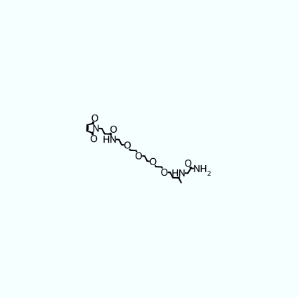 CC(CCOCCOCCOCCOCCNC(=O)CCN1C(=O)C=CC1=O)NCC(N)=O